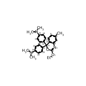 CCOC1=Nc2cc(C)ccc2C(c2ccc(N(C)C)cc2)(c2ccc(N(C)C)cc2)O1